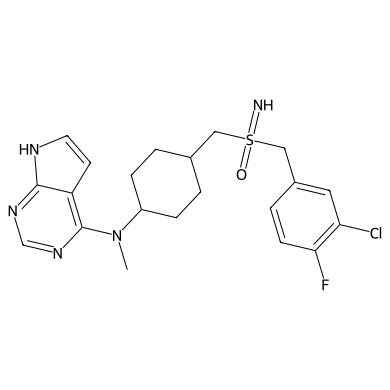 CN(c1ncnc2[nH]ccc12)C1CCC(CS(=N)(=O)Cc2ccc(F)c(Cl)c2)CC1